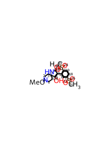 CON1CCC2(CC1)NC(=O)C(c1cc(S(C)(=O)=O)ccc1S(C)(=O)=O)=C2O